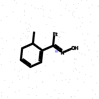 CC/C(=N\O)C1=CC=CCC1C